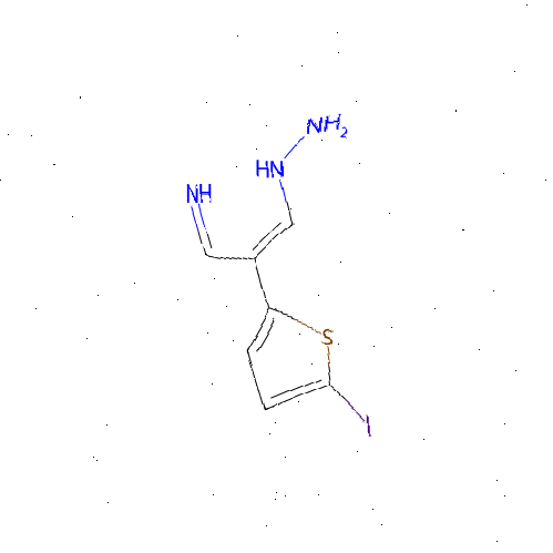 N=C/C(=C\NN)c1ccc(I)s1